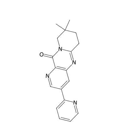 CC1(C)CCc2nc3cc(-c4ccccn4)cnc3c(=O)n2C1